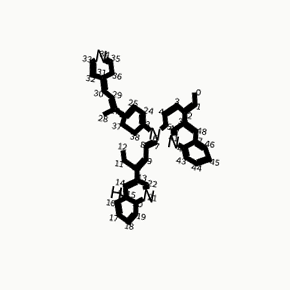 C/C=C(\C=C/CN(/C=C/C=C(\CC)C1=C[C@@H]2C=CC=CC2N=C1)C1=CC=C(/C(C)=C/C=C2/C=CN=CC2)CC1)c1cnc2ccccc2c1